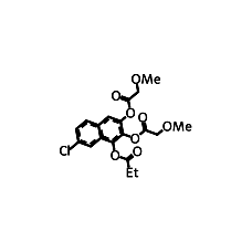 CCC(=O)Oc1c(OC(=O)COC)c(OC(=O)COC)cc2ccc(Cl)cc12